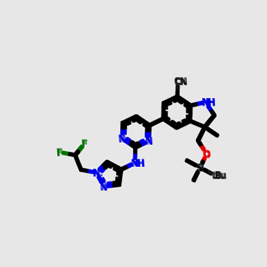 CC1(CO[Si](C)(C)C(C)(C)C)CNc2c(C#N)cc(-c3ccnc(Nc4cnn(CC(F)F)c4)n3)cc21